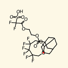 O=C(OCCOC(=O)C(F)(F)S(=O)(=O)O)C12CC3CC(C1)C1(OCC(F)(F)C(F)(F)C(F)(F)CO1)C(C3)C2